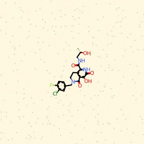 C[C@H](O)CNC(=O)c1[nH]c(=O)c(O)c2c1CCN(Cc1ccc(F)c(Cl)c1)C2=O